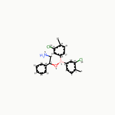 Cc1ccc(B(OC(CN)c2ccccc2)c2ccc(C)c(Cl)c2)cc1Cl